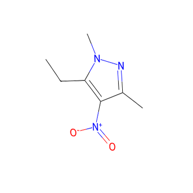 CCc1c([N+](=O)[O-])c(C)nn1C